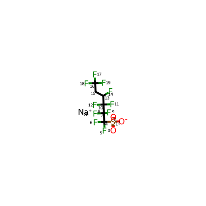 O=S(=O)([O-])C(F)(F)C(F)(F)C(F)(F)C(F)CC(F)(F)F.[Na+]